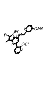 CCOc1ncccc1-c1cc(NCc2cc(OC)ccn2)c2c(n1)c(C)c(CC)n2C(C)C